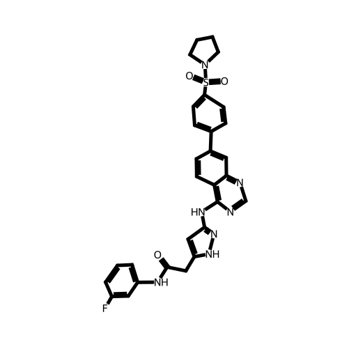 O=C(Cc1cc(Nc2ncnc3cc(-c4ccc(S(=O)(=O)N5CCCC5)cc4)ccc23)n[nH]1)Nc1cccc(F)c1